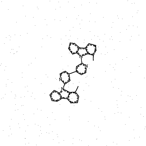 Cc1cccc2c3ccccc3n(-c3cc(-c4ccnc(-n5c6ccccc6c6cccc(C)c65)c4)ccn3)c12